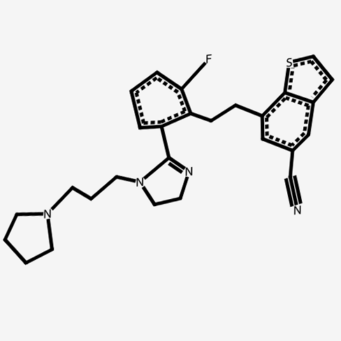 N#Cc1cc(CCc2c(F)cccc2C2=NCCN2CCCN2CCCC2)c2sccc2c1